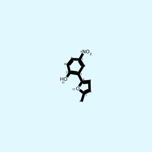 Cc1ccc(-c2cc([N+](=O)[O-])ccc2O)o1